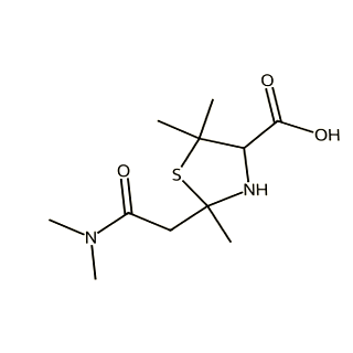 CN(C)C(=O)CC1(C)NC(C(=O)O)C(C)(C)S1